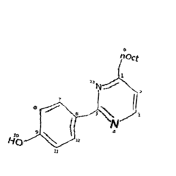 CCCCCCCCc1ccnc(-c2ccc(O)cc2)n1